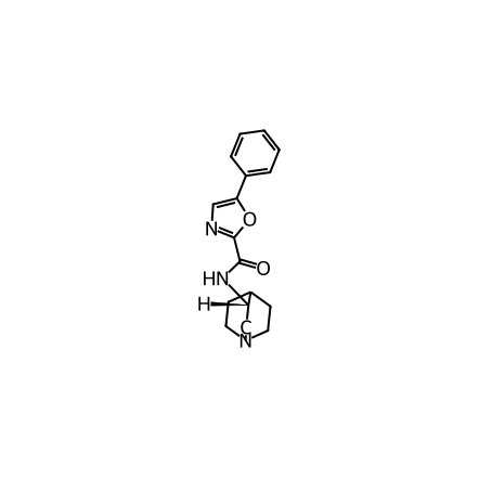 O=C(N[C@H]1CN2CCC1CC2)c1ncc(-c2ccccc2)o1